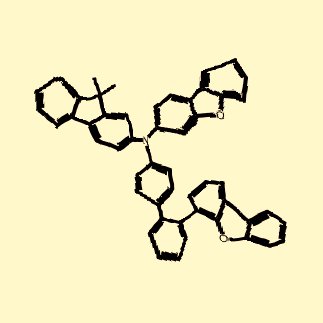 CC1(C)c2ccccc2-c2ccc(N(c3ccc(-c4ccccc4-c4cccc5c4oc4ccccc45)cc3)c3ccc4c(c3)oc3ccccc34)cc21